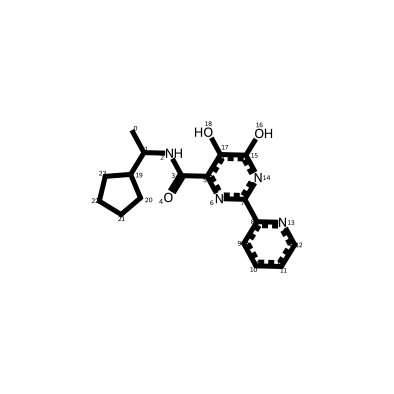 CC(NC(=O)c1nc(-c2ccccn2)nc(O)c1O)C1CCCC1